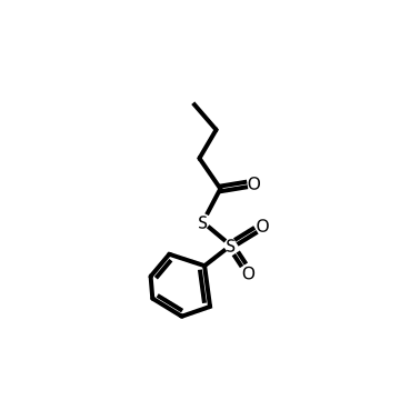 CCCC(=O)SS(=O)(=O)c1ccccc1